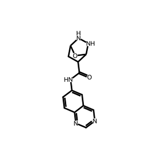 O=C(Nc1ccc2ncncc2c1)C1CC2NNC1O2